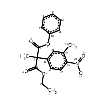 CCOC(=O)C(C)(C(=O)Oc1ccccc1)c1ccc([N+](=O)[O-])c(C)c1